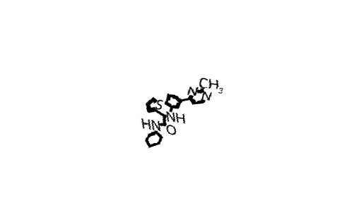 Cc1nccc(-c2cccc(NC(C(=O)NC3CCCCC3)c3cccs3)c2)n1